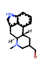 CN1CC(CBr)C[C@H]2c3cccc4[nH]cc(c34)C[C@@H]21